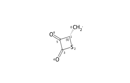 [CH2][C@@H]1SC(=O)C1=O